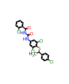 CC(Sc1c(Cl)cc(NC(=O)NC(=O)c2ccccc2Cl)cc1Cl)c1ccc(Cl)cc1